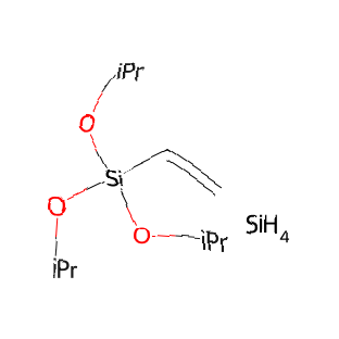 C=C[Si](OC(C)C)(OC(C)C)OC(C)C.[SiH4]